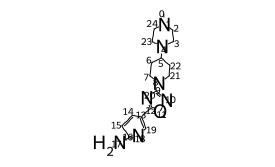 CN1CCN(C2CCN(c3noc(-c4ccc(N)nc4)n3)CC2)CC1